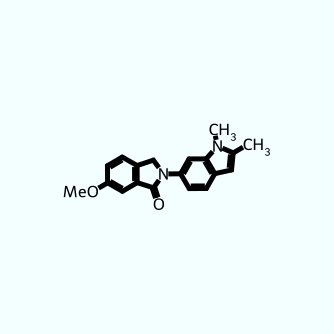 COc1ccc2c(c1)C(=O)N(c1ccc3cc(C)n(C)c3c1)C2